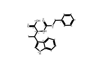 CC(c1c[nH]c2ccccc12)[C@H](NC(=O)OCc1ccccc1)C(=O)O